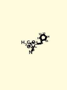 CS(=O)(=O)C(C#N)C/C=C/c1ccccc1